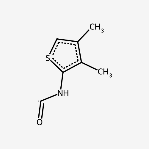 Cc1csc(N[C]=O)c1C